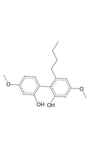 CCCCc1cc(OC)cc(O)c1-c1ccc(OC)cc1O